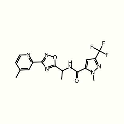 Cc1ccnc(-c2noc(C(C)NC(=O)c3cc(C(F)(F)F)nn3C)n2)c1